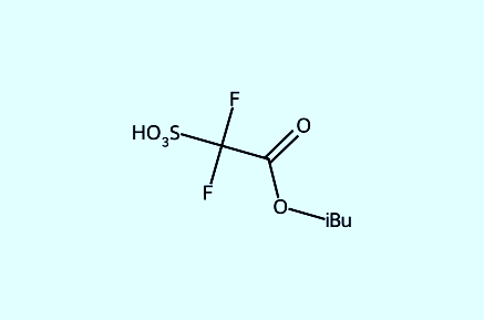 CCC(C)OC(=O)C(F)(F)S(=O)(=O)O